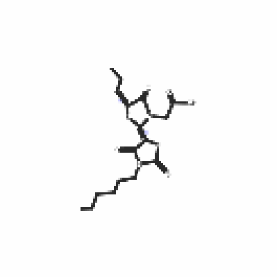 CC/C=c1/s/c(=C2/SC(=S)N(CCCCCC)C2=O)n(CC(=O)O)c1=O